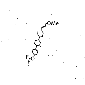 COCC=CC1CCC(C2CCC(c3ccc(OC(F)F)cc3)CC2)CC1